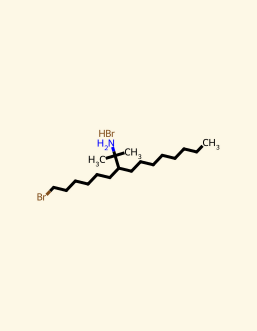 Br.CCCCCCCCC(CCCCCCBr)C(C)(C)N